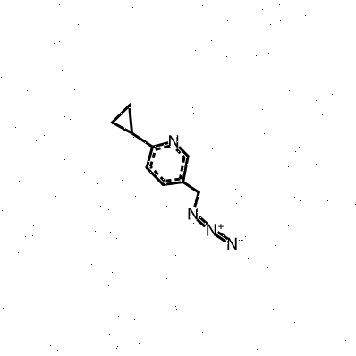 [N-]=[N+]=NCc1ccc(C2CC2)nc1